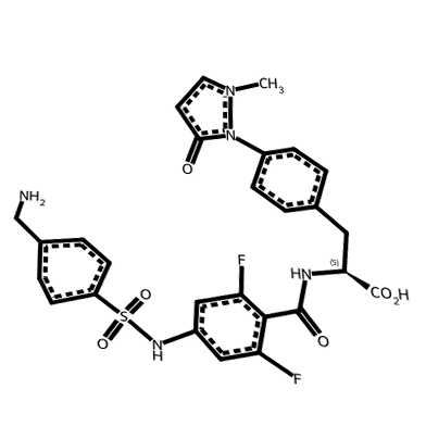 Cn1ccc(=O)n1-c1ccc(C[C@H](NC(=O)c2c(F)cc(NS(=O)(=O)c3ccc(CN)cc3)cc2F)C(=O)O)cc1